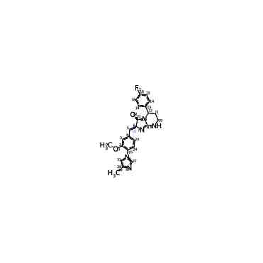 COc1cc(/C=C2\N=C3NCCC(c4ccc(F)cc4)N3C2=O)ccc1-n1cnc(C)c1